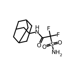 NS(=O)(=O)C(F)(F)C(=O)NC12CC3CC(CC(C3)C1)C2